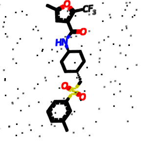 Cc1cccc(S(=O)(=O)C[C@H]2CC[C@H](NC(=O)c3cc(C)oc3C(F)(F)F)CC2)c1